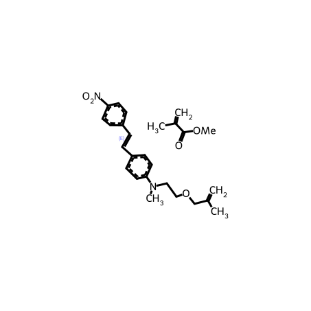 C=C(C)C(=O)OC.C=C(C)COCCN(C)c1ccc(/C=C/c2ccc([N+](=O)[O-])cc2)cc1